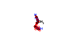 C[C@H](c1ccc(COc2cccc3c2CN([C@H]2CCC(=O)NC2=O)C3=O)cc1)N1CCN(c2ccc(C#N)cn2)CC1